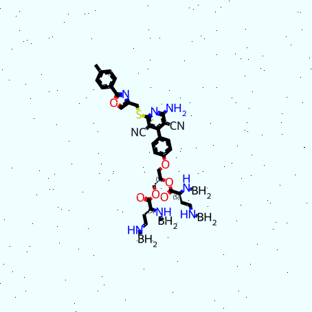 BNCC[C@H](NB)C(=O)OC[C@H](COc1ccc(-c2c(C#N)c(N)nc(SCc3coc(-c4ccc(C)cc4)n3)c2C#N)cc1)OC(=O)[C@H](CCNB)NB